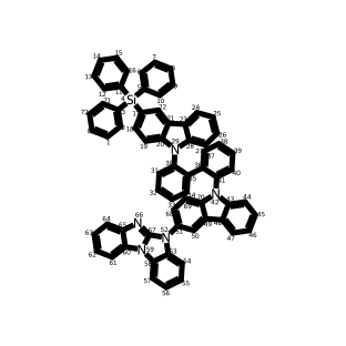 c1ccc([Si](c2ccccc2)(c2ccccc2)c2ccc3c(c2)c2ccccc2n3-c2ccccc2-c2ccccc2-n2c3ccccc3c3cc(-n4c5ccccc5n5c6ccccc6nc45)ccc32)cc1